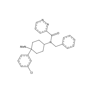 CNC1(c2cccc(Cl)c2)CCC(N(Cc2ccccc2)C(=O)c2cccnn2)CC1